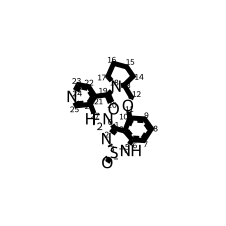 NC1=N[S+]([O-])Nc2cccc(OCC3CCCCN3C(=O)c3ccncc3F)c21